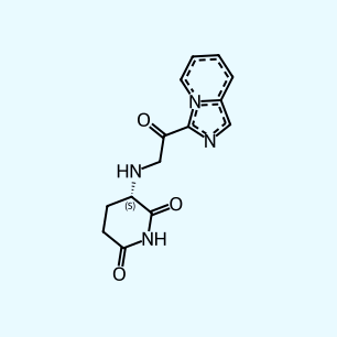 O=C1CC[C@H](NCC(=O)c2ncc3ccccn23)C(=O)N1